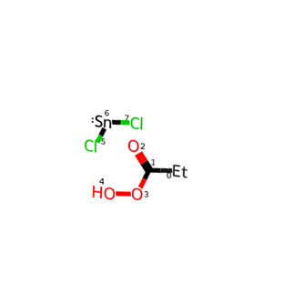 CCC(=O)OO.[Cl][Sn][Cl]